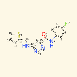 O=C(Nc1ccc(F)cc1)c1cc(NCc2cccs2)ncn1